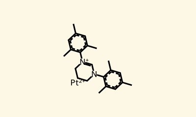 Cc1cc(C)c(N2C=[N+](c3c(C)cc(C)cc3C)CCC2)c(C)c1.[Pt+2]